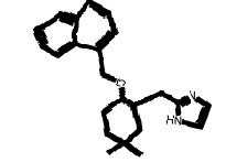 CC1(C)CCC(OCc2cccc3ccccc23)C(Cc2ncc[nH]2)C1